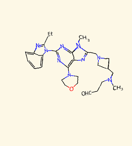 CCc1nc2ccccc2n1-c1nc(N2CCOCC2)c2nc(CN3CC(CN(C)CCC=O)C3)n(C)c2n1